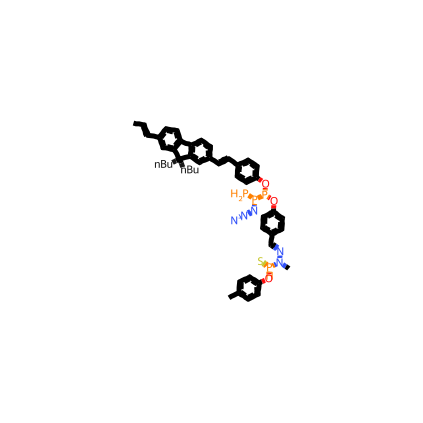 C/C=C/c1ccc2c(c1)C(CCCC)(CCCC)c1cc(/C=C/c3ccc(OP(Oc4ccc(/C=N/N(C)[PH](=S)Oc5ccc(C)cc5)cc4)P(P)N=[N+]=[N-])cc3)ccc1-2